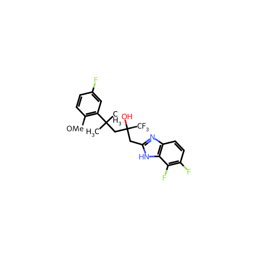 COc1ccc(F)cc1C(C)(C)CC(O)(Cc1nc2ccc(F)c(F)c2[nH]1)C(F)(F)F